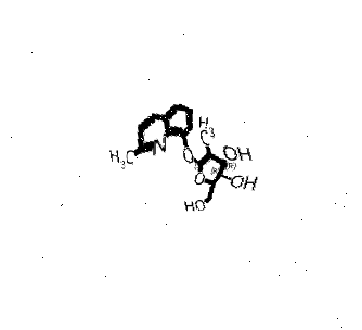 Cc1ccc2cccc(O[C@@H]3OC(CO)[C@H](O)[C@H](O)C3C)c2n1